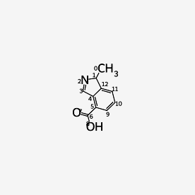 CC1N=Cc2c(C(=O)O)cccc21